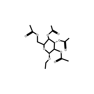 CCO[C@H]1OC(COC(C)=O)C(OC(C)=O)[C@H](OC(C)=O)C1OC(C)=O